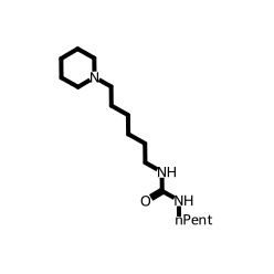 CCCCCNC(=O)NCCCCCCN1CCCCC1